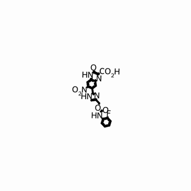 O=C(Nc1ccccc1F)OCc1c[nH]c(-c2cc3nc(C(=O)O)c(=O)[nH]c3cc2[N+](=O)[O-])n1